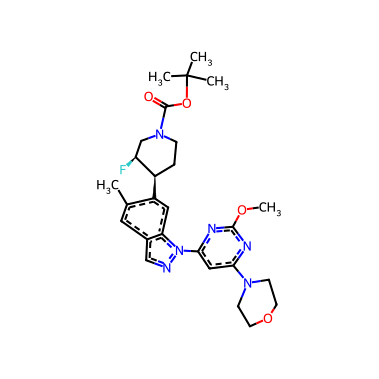 COc1nc(N2CCOCC2)cc(-n2ncc3cc(C)c([C@@H]4CCN(C(=O)OC(C)(C)C)C[C@@H]4F)cc32)n1